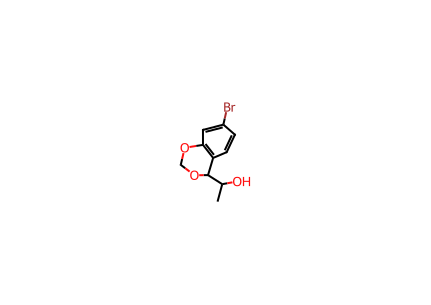 CC(O)C1OCOc2cc(Br)ccc21